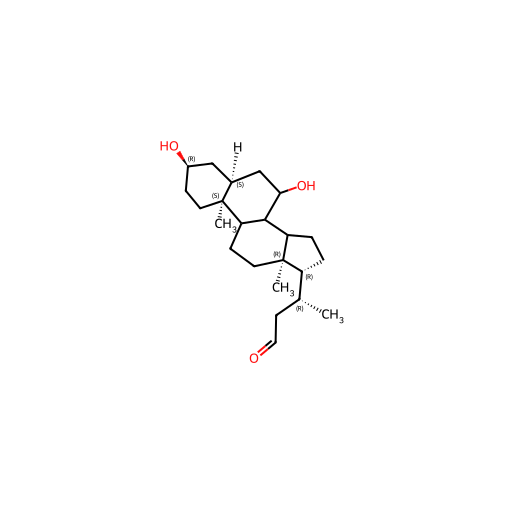 C[C@H](CC=O)[C@H]1CCC2C3C(O)C[C@@H]4C[C@H](O)CC[C@]4(C)C3CC[C@@]21C